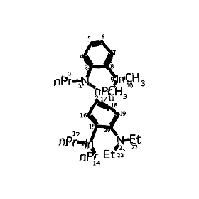 CCCN(CCC)c1cccc[c]1[In]([CH3])[CH3].CC[CH2][In]([CH2]CC)[c]1ccccc1N(CC)CC